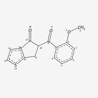 COc1ccccc1C(=O)C1Cc2sccc2C1=O